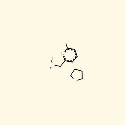 CC(C)c1ccc([C@@H]2CCOC2)c(CN(C)C)n1